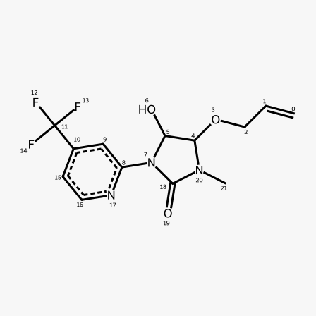 C=CCOC1C(O)N(c2cc(C(F)(F)F)ccn2)C(=O)N1C